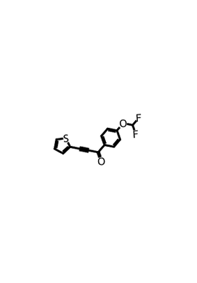 O=C(C#Cc1cccs1)c1ccc(OC(F)F)cc1